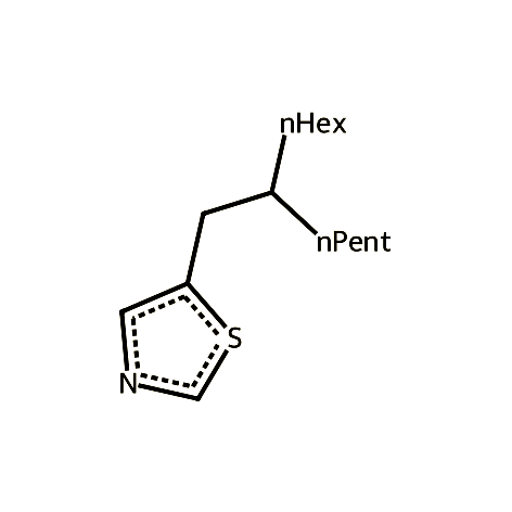 CCCCCCC(CCCCC)Cc1cncs1